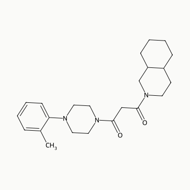 Cc1ccccc1N1CCN(C(=O)CC(=O)N2CCC3CCCCC3C2)CC1